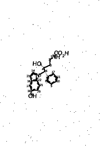 O=C(O)NCC[C@@H](O)[C@H](c1ccccc1)n1ccc2cc(O)ccc21